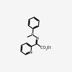 CCOC(=O)/C(=N/N(C)c1ccccc1)c1ccccn1